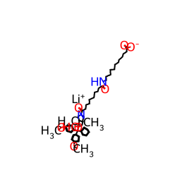 COc1ccc(C(OCC2(C)CN(C(=O)CCCCCCCCC(=O)NCCCCCCCCCCCC(=O)[O-])CC2(C)CO)(c2ccccc2)c2ccc(OC)cc2)cc1.[Li+]